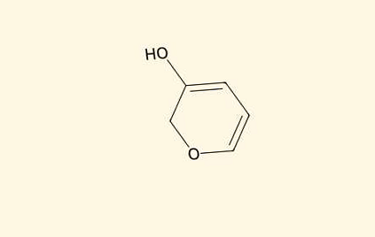 OC1=CC=COC1